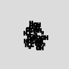 CC(C(=O)O)C(N)(CCC(N)(CCC(N)(CC(=O)O)C(C)C(=O)O)CC(=O)O)CC(=O)O